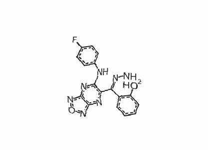 NN=C(c1ccccc1O)c1nc2nonc2nc1Nc1ccc(F)cc1